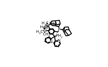 C[Si](C)(C)c1cc(CP(C2C3CC4CC(C3)CC2C4)C2C3CC4CC(C3)CC2C4)c(C(P)(c2ccccn2)c2ccccn2)cc1[Si](C)(C)C